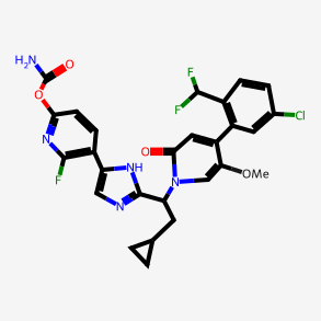 COc1cn(C(CC2CC2)c2ncc(-c3ccc(OC(N)=O)nc3F)[nH]2)c(=O)cc1-c1cc(Cl)ccc1C(F)F